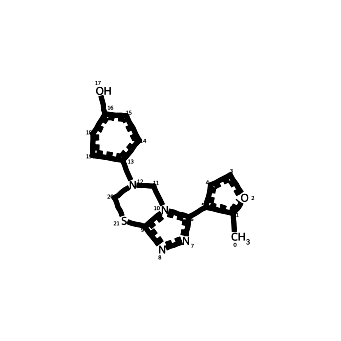 Cc1occc1-c1nnc2n1CN(c1ccc(O)cc1)CS2